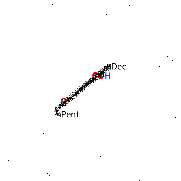 CCCCC/C=C\C/C=C\CCCCCCCC(=O)CCCCCCCCCCCCCCCCCCCCCCCCCCCCCC(=O)NC[C@H](O)CCCCCCCCCCCCCCCCCC